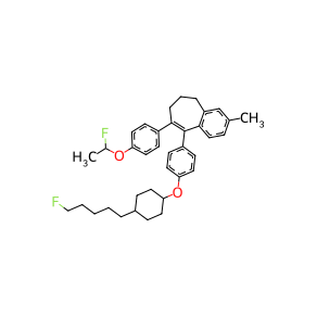 Cc1ccc2c(c1)CCCC(c1ccc(OC(C)F)cc1)=C2c1ccc(OC2CCC(CCCCCF)CC2)cc1